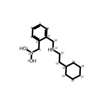 ON(O)Cc1ccccc1CNCCC1CCCCC1